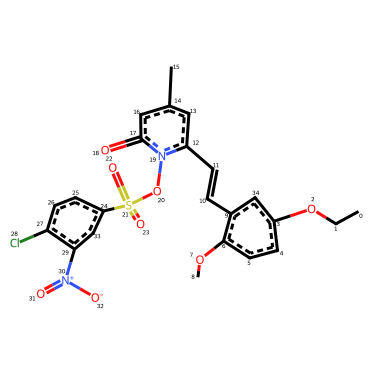 CCOc1ccc(OC)c(C=Cc2cc(C)cc(=O)n2OS(=O)(=O)c2ccc(Cl)c([N+](=O)[O-])c2)c1